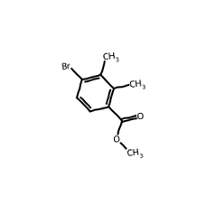 COC(=O)c1ccc(Br)c(C)c1C